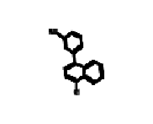 N#Cc1cccc(-c2ccc(Cl)c3ccccc23)c1